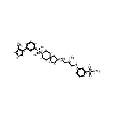 CNS(=O)(=O)c1cccc(OC[C@@H](O)CNC2COC3(CCN(S(=O)(=O)c4cccc(-c5cscc5C)c4)CC3)C2)c1